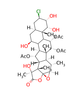 CC(=O)O[C@H]1[C@@H]2[C@H]([C@H](C)[C@H]3O[C@]34OC(=O)[C@@](C)(O)[C@]24C)[C@]2(C)[C@@H]1C1C([C@H](OC(C)=O)[C@@H]2OC(C)=O)[C@]2(C)[C@H](C[C@@H](Cl)[C@H](O)[C@@H]2O)C[C@@H]1O